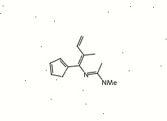 C=C/C(C)=C(/N=C(\C)NC)C1=CC=CC1